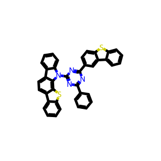 c1ccc(-c2nc(-c3ccc4sc5ccccc5c4c3)nc(-n3c4ccccc4c4ccc5c6ccccc6sc5c43)n2)cc1